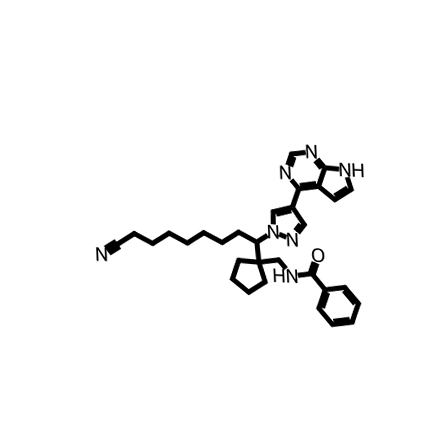 N#CCCCCCCCC(n1cc(-c2ncnc3[nH]ccc23)cn1)C1(CNC(=O)c2ccccc2)CCCC1